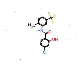 Cc1ccc(C(F)(F)F)cc1NC(=O)c1ccc(Cl)cc1O